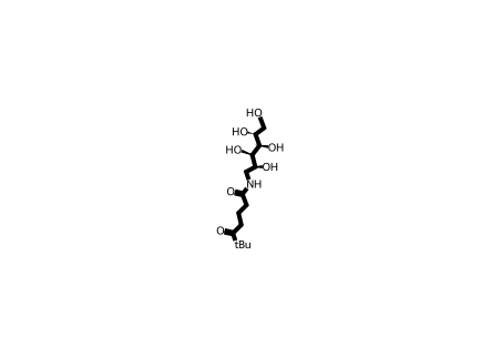 CC(C)(C)C(=O)CCCC(=O)NC[C@H](O)[C@@H](O)[C@H](O)[C@H](O)CO